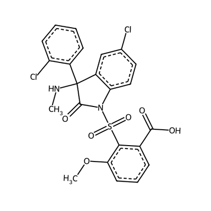 CNC1(c2ccccc2Cl)C(=O)N(S(=O)(=O)c2c(OC)cccc2C(=O)O)c2ccc(Cl)cc21